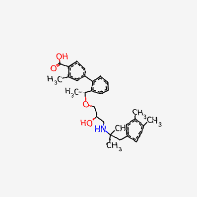 Cc1ccc(CC(C)(C)NC[C@@H](O)CO[C@H](C)c2ccccc2-c2ccc(C(=O)O)c(C)c2)cc1C